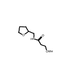 COCCC(=O)NCC1CCCO1